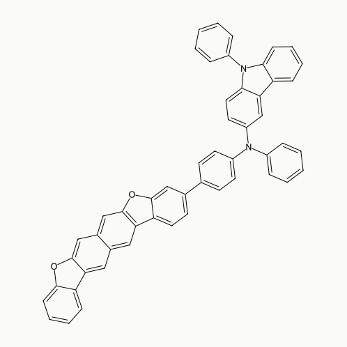 c1ccc(N(c2ccc(-c3ccc4c(c3)oc3cc5cc6oc7ccccc7c6cc5cc34)cc2)c2ccc3c(c2)c2ccccc2n3-c2ccccc2)cc1